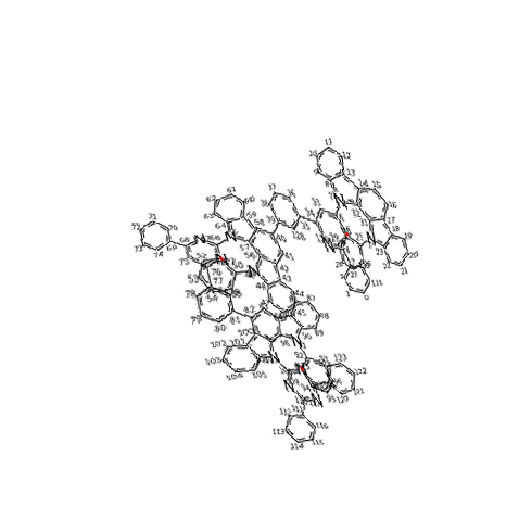 c1ccc(-c2cc(-n3c4ccccc4c4ccc5c6ccccc6n(-c6ccccc6)c5c43)cc(-c3cccc(-c4cc5c6ccccc6n(-c6ccccc6)c5c5c4c4ccccc4n5-c4nc(-c5ccccc5)cc(-c5cccc(-c6cc7c8ccccc8n(-c8ccccc8)c7c7c6c6ccccc6n7-c6nc(-c7ccccc7)nc(-c7ccccc7)n6)c5)n4)c3)n2)cc1